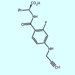 C#CCNc1ccc(C(=O)N[C@H](C(=O)O)C(C)C)c(F)c1